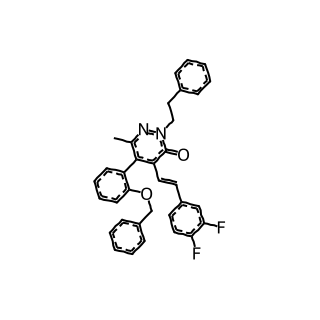 Cc1nn(CCc2ccccc2)c(=O)c(C=Cc2ccc(F)c(F)c2)c1-c1ccccc1OCc1ccccc1